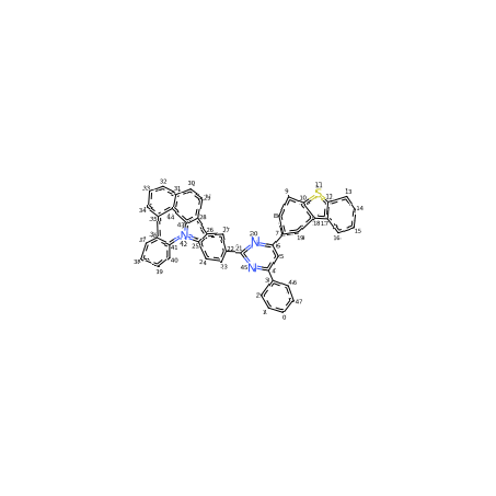 c1ccc(-c2cc(-c3ccc4sc5ccccc5c4c3)nc(-c3ccc4c(c3)c3ccc5cccc6c7ccccc7n4c3c56)n2)cc1